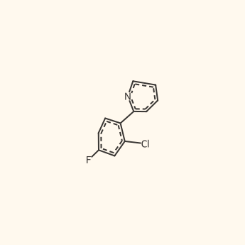 Fc1ccc(-c2ccccn2)c(Cl)c1